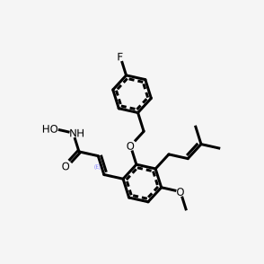 COc1ccc(/C=C/C(=O)NO)c(OCc2ccc(F)cc2)c1CC=C(C)C